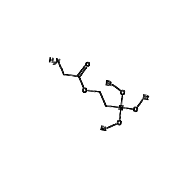 CCO[Si](CCOC(=O)CN)(OCC)OCC